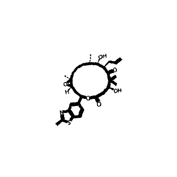 C=CC[C@H]1C(=O)C(C)(C)[C@@H](O)CC(=O)OC(c2ccc3sc(C)nc3c2)C[C@H]2O[C@@]2(C)CCC[C@H](C)[C@@H]1O